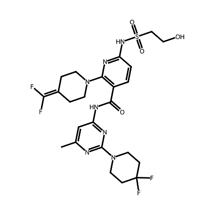 Cc1cc(NC(=O)c2ccc(NS(=O)(=O)CCO)nc2N2CCC(=C(F)F)CC2)nc(N2CCC(F)(F)CC2)n1